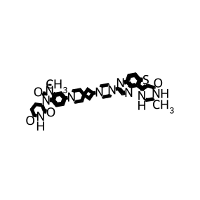 C[C@@H]1CNc2c(sc3ccc4nc(N5CCN(C6CC7(CCN(c8ccc9c(c8)n(C)c(=O)n9C8CCC(=O)NC8=O)CC7)C6)CC5)cnc4c23)C(=O)N1